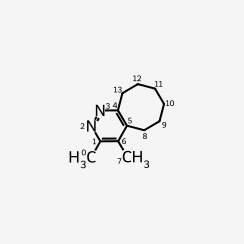 Cc1nnc2c(c1C)CCCCCC2